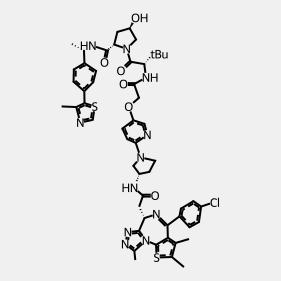 Cc1ncsc1-c1ccc([C@H](C)NC(=O)[C@@H]2C[C@@H](O)CN2C(=O)[C@@H](NC(=O)COc2ccc(N3CC[C@H](NC(=O)C[C@@H]4N=C(c5ccc(Cl)cc5)c5c(sc(C)c5C)-n5c(C)nnc54)C3)nc2)C(C)(C)C)cc1